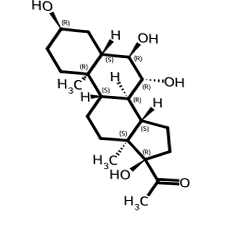 CC(=O)[C@@]1(O)CC[C@H]2[C@@H]3[C@@H](O)[C@H](O)[C@H]4C[C@H](O)CC[C@]4(C)[C@H]3CC[C@@]21C